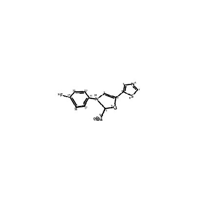 CCCCC1OC(c2cncs2)=[C]N1c1ccc(F)cc1